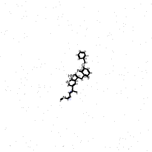 C=N/C=C\C=C(/C)c1cnc2[nH]cc(Cc3c(F)ccc(OCc4ccccc4)c3F)c2c1